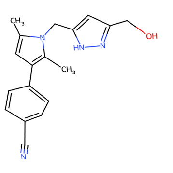 Cc1cc(-c2ccc(C#N)cc2)c(C)n1Cc1cc(CO)n[nH]1